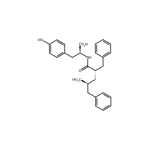 O=C(O)[C@H](Cc1ccccc1)C[C@@H](Cc1ccccc1)C(=O)N[C@@H](Cc1ccc(O)cc1)C(=O)O